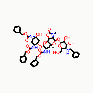 CN1C(=O)OC2C3O[C@H](O[C@H]4C[C@H](O)[C@H](NC(=O)OCc5ccccc5)CC4NC(=O)OCc4ccccc4)[C@@H](NC(=O)OCc4ccccc4)C[C@@H]3OC(O[C@H]3OC(CO)[C@@H](NCc4ccccc4)[C@H](O)C3O)C21